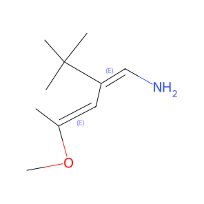 CO/C(C)=C/C(=C\N)C(C)(C)C